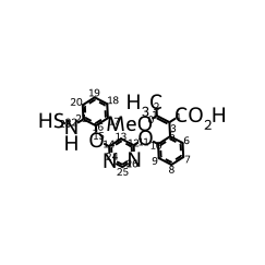 CO/C(C)=C(/C(=O)O)c1ccccc1Oc1cc(Oc2ccccc2NS)ncn1